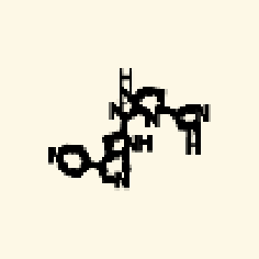 c1cc(-c2cncc3[nH]c(-c4n[nH]c5ccc(-c6cn[nH]c6)nc45)cc23)ccn1